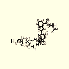 CCC1(CCCNc2ncc(Cl)c(-c3cc4c(C(=O)ONC5CC5)cccc4s3)n2)CCN(C)CC1.Cl.Cl